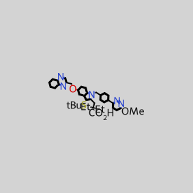 CCC(CC)(Cc1c(SC(C)(C)C)c2cc(OCc3cnc4ccccc4n3)ccc2n1Cc1ccc(-c2ccc(OC)nn2)cc1)C(=O)O